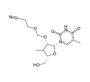 Cc1cn([C@@H]2O[C@H](CO)C(C)[C@@H]2OCOCCC#N)c(=O)[nH]c1=O